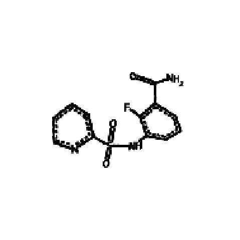 NC(=O)c1cccc(NS(=O)(=O)c2ccccn2)c1F